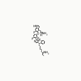 C/C=C(\N)CCSCCC(c1cnc(-c2cc(Oc3c(F)cc4[nH]ccc4c3CNN)ccc2F)[nH]1)c1ccccc1F